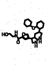 O=C(NCCO)c1cc(C2CNC3NCC(C4CCCCC4OC4CCCCC4)CC32)co1